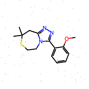 COc1ccccc1-c1nnc2n1CCSC(C)(C)C2